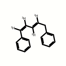 [2H]C(Cc1ccccc1)=C([2H])C([2H])=C([2H])c1ccccc1